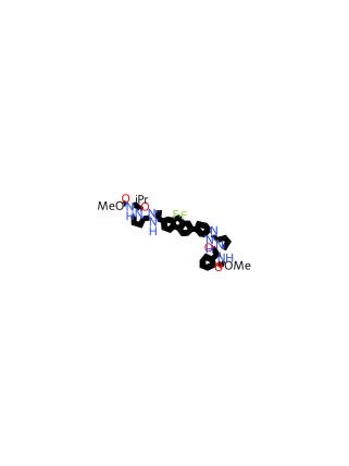 COC(=O)N[C@H](C(=O)N1CCCC1c1ncc(-c2ccc3c(c2)C(F)(F)c2cc(-c4ccc5nc([C@@H]6CCCN6C(=O)[C@H](NC(=O)OC)c6ccccc6)[nH]c5c4)ccc2-3)[nH]1)C(C)C